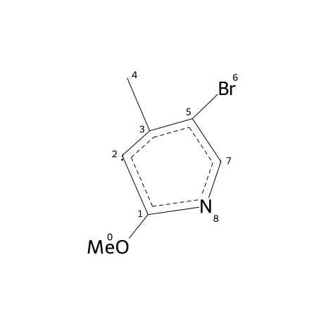 COc1[c]c(C)c(Br)cn1